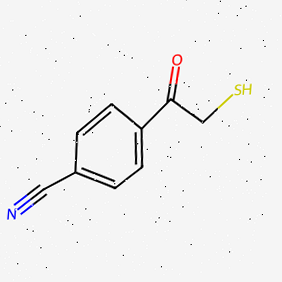 N#Cc1ccc(C(=O)CS)cc1